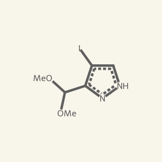 COC(OC)c1n[nH]cc1I